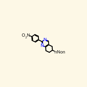 CCCCCCCCCC1CCc2nc(-c3ccc([N+](=O)[O-])cc3)ncc2C1